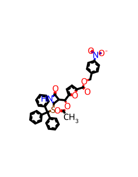 CC(=O)OC(c1ccc(C(=O)OCc2ccc([N+](=O)[O-])cc2)o1)C1C(=O)NC1SC(c1ccccc1)(c1ccccc1)c1ccccc1